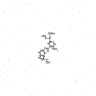 CN/C=C(\C=N)c1cnc(N)c(NCc2ccc3ncc(CO)n3c2)n1